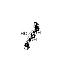 O=C(COc1ccc(Cl)c(F)c1)N[C@H]1CC[C@H](C(=O)Nc2ccc3c(c2)OC(F)(F)O3)N(C(=O)O)C1